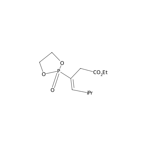 CCOC(=O)C/C(=C\C(C)C)P1(=O)OCCO1